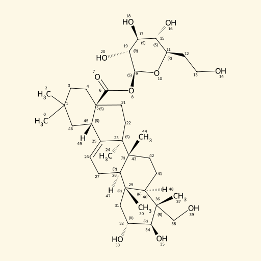 CC1(C)CC[C@]2(C(=O)O[C@@H]3O[C@H](CCO)[C@@H](O)[C@H](O)[C@H]3O)CC[C@]3(C)C(=CC[C@@H]4[C@@]5(C)C[C@@H](O)[C@H](O)[C@@](C)(CO)[C@@H]5CC[C@]43C)[C@@H]2C1